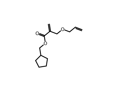 C=CCOCC(=C)C(=O)OCC1CCCC1